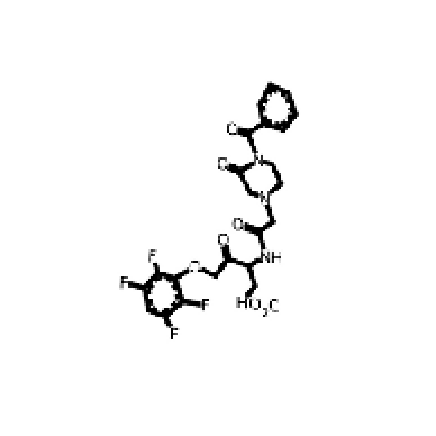 O=C(O)CC(NC(=O)CN1CCN(C(=O)c2ccccc2)C(=O)C1)C(=O)COc1c(F)c(F)cc(F)c1F